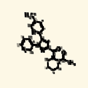 Cc1ccc(-c2cc(C(=O)N3CCCCN3C(N)=O)nn2-c2cccnc2)nc1